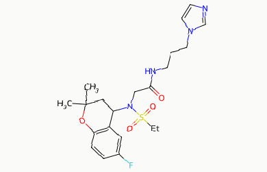 CCS(=O)(=O)N(CC(=O)NCCCn1ccnc1)C1CC(C)(C)Oc2ccc(F)cc21